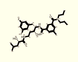 CCCN(CCC)C(=O)c1cc(C)cc(C(=O)N[C@@H](Cc2cc(F)cc(F)c2)[C@H](O)CCNC(=O)[C@@H](O)CC(C)C)c1